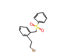 O=S(=O)(Cc1ccccc1CCBr)c1ccccc1